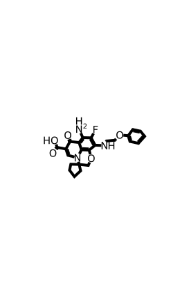 Nc1c(F)c(NCCOc2ccccc2)c2c3c1c(=O)c(C(=O)O)cn3C1(CCCC1)CO2